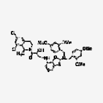 COc1ccc(CN(Cc2ccc(OC)cc2OC)c2nc3cncc(NCC(O)C(=O)N4CCc5cc(Cl)cc(Cl)c5[C@@H]4C)c3o2)c(OC)c1